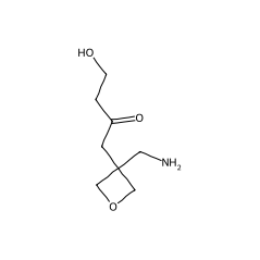 NCC1(CC(=O)CCO)COC1